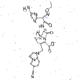 CCO/N=C(/C(=O)N[C@@H]1C(=O)N2C(C(=O)[O-])=C(Cn3cc[n+]4cc(C#N)ccc34)CS[C@H]12)c1nsc(N)n1